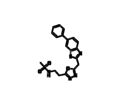 CS(=O)(=O)NCCc1nnc(Cc2nc3ccc(-c4ccccc4)cc3s2)o1